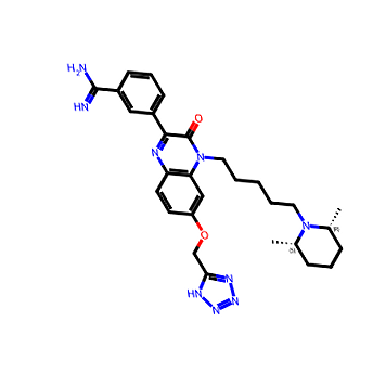 C[C@@H]1CCC[C@H](C)N1CCCCCn1c(=O)c(-c2cccc(C(=N)N)c2)nc2ccc(OCc3nnn[nH]3)cc21